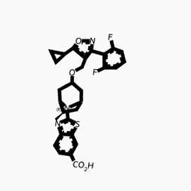 C[C@@H]1CC2CC(OCc3c(-c4c(F)cccc4F)noc3C3CC3)CC1N2c1nc2ccc(C(=O)O)cc2s1